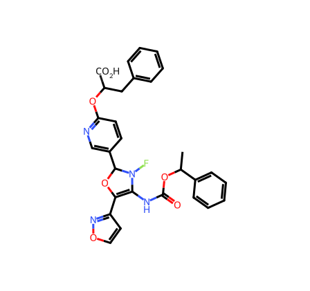 CC(OC(=O)NC1=C(c2ccon2)OC(c2ccc(OC(Cc3ccccc3)C(=O)O)nc2)N1F)c1ccccc1